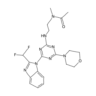 CC(=O)N(C)CCNc1nc(N2CCOCC2)nc(-n2c(C(F)F)nc3ccccc32)n1